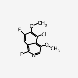 COc1c(F)cc2c(F)ncc(OC)c2c1Cl